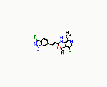 Cc1ncc(F)c(C)c1NC(=O)/C=C/c1ccc2c(F)n[nH]c2c1